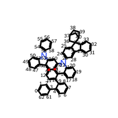 c1ccc(-c2ccccc2-c2ccccc2-c2ccccc2N(c2ccc3c(c2)-c2ccccc2C32CC3CCC2C3)c2ccc3c4ccccc4n(-c4ccccc4)c3c2)cc1